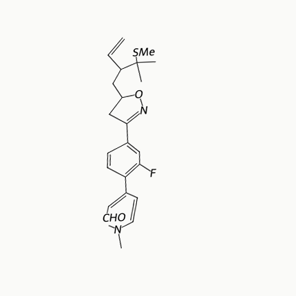 C=CC(CC1CC(c2ccc(C(/C=C\N(C)C)=C/C=O)c(F)c2)=NO1)C(C)(C)SC